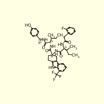 CCC(C)[C@H](NC(=O)Cc1ccccc1F)C(=O)N[C@]1(C(=O)N[C@H](C(=O)NNc2ccc(O)cc2)C(C)CC)CCc2[nH]c3c(C(F)(F)F)cccc3c2C1